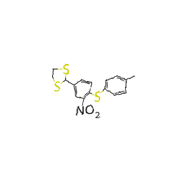 Cc1ccc(Sc2ccc(C3SCCS3)cc2[N+](=O)[O-])cc1